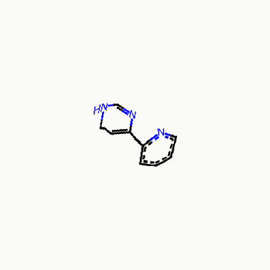 [C]1=NC(c2ccccn2)=CCN1